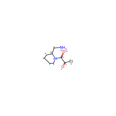 CCC(=O)C(=O)N1CCCCC1CN